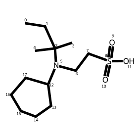 CCC(C)(C)N(CCS(=O)(=O)O)C1CCCCC1